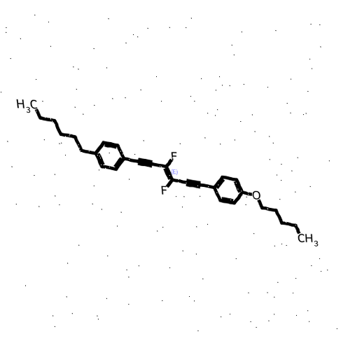 CCCCCCc1ccc(C#C/C(F)=C(\F)C#Cc2ccc(OCCCCC)cc2)cc1